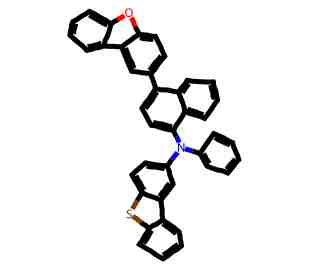 c1ccc(N(c2ccc3sc4ccccc4c3c2)c2ccc(-c3ccc4oc5ccccc5c4c3)c3ccccc23)cc1